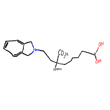 CNC(CCCCB(O)O)(CCN1Cc2ccccc2C1)C(=O)O